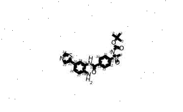 CC(C)(C)OC(=O)N=S(C)(=O)c1ccc(C(=O)Nc2cc(-c3cncs3)ccc2N)cc1